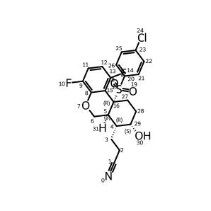 N#CCC[C@@H]1[C@H]2COc3c(F)ccc(F)c3[C@@]2(S(=O)(=O)c2ccc(Cl)cc2)CC[C@@H]1O